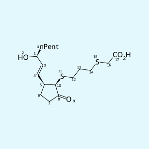 CCCCC[C@H](O)C=C[C@@H]1CCC(=O)[C@@H]1SCCCSCC(=O)O